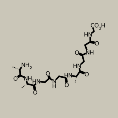 C[C@H](N)C(=O)N[C@@H](C)C(=O)NCC(=O)NCC(=O)N[C@@H](C)C(=O)NCC(=O)NCC(=O)NCC(=O)O